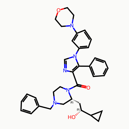 O=C(c1ncn(-c2cccc(N3CCOCC3)c2)c1-c1ccccc1)N1CCN(Cc2ccccc2)C[C@H]1C[C@@H](O)C1CC1